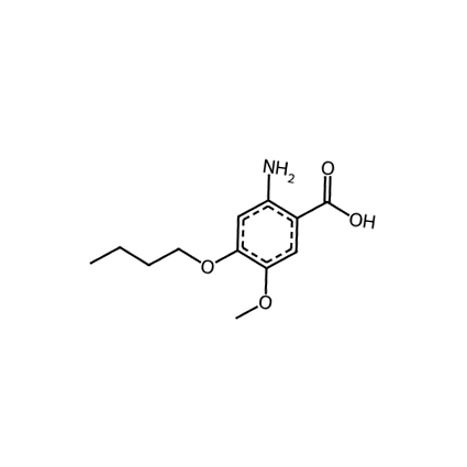 CCCCOc1cc(N)c(C(=O)O)cc1OC